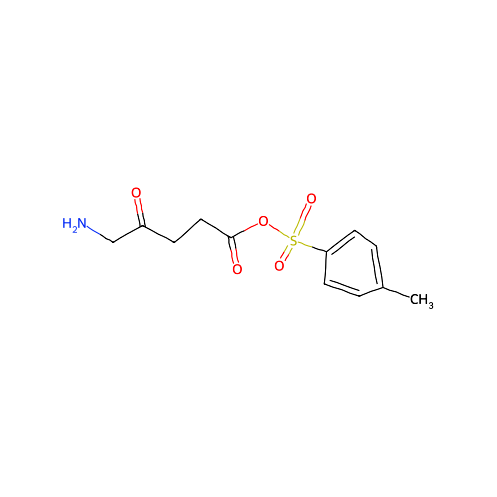 Cc1ccc(S(=O)(=O)OC(=O)CCC(=O)CN)cc1